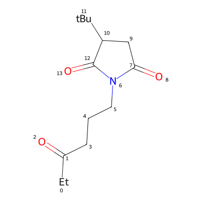 CCC(=O)CCCN1C(=O)CC(C(C)(C)C)C1=O